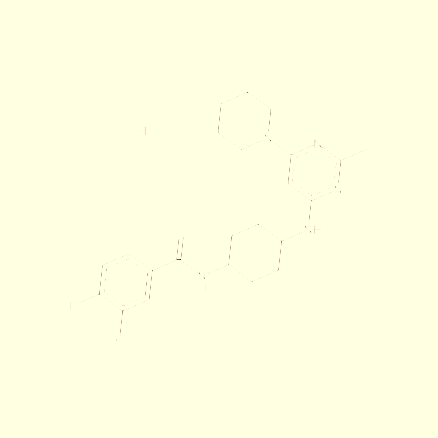 Cc1nc(NC2CCC(NC(=O)c3ccc(F)c(Cl)c3)CC2)cc(N2CCCCC2)n1.Cl